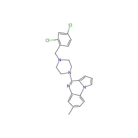 Cc1ccc2c(c1)nc(N1CCN(Cc3ccc(Cl)cc3Cl)CC1)c1cccn12